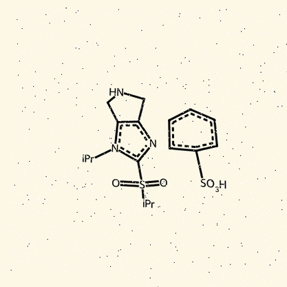 CC(C)n1c(S(=O)(=O)C(C)C)nc2c1CNC2.O=S(=O)(O)c1ccccc1